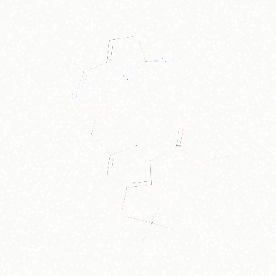 CC(C)(C)OC(=O)c1cc(CON=C(C(=O)O)c2csc(N)n2)cc2c1OC(C)(C)O2